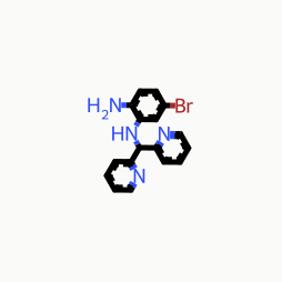 Nc1ccc(Br)cc1NC(c1ccccn1)c1ccccn1